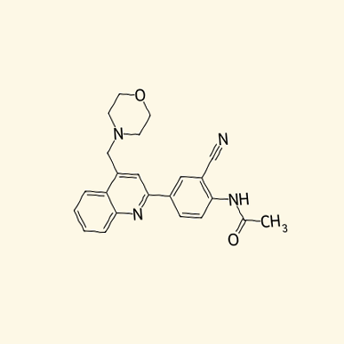 CC(=O)Nc1ccc(-c2cc(CN3CCOCC3)c3ccccc3n2)cc1C#N